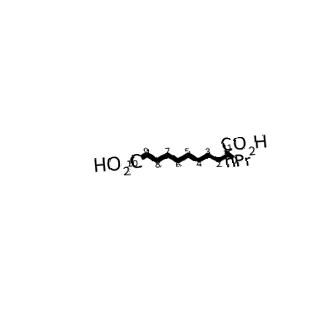 CCCC(CCCCCCCCC(=O)O)C(=O)O